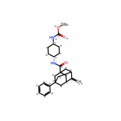 C=C1C2CC3(C(=O)N[C@H]4CC[C@H](NC(=O)OC(C)(C)C)CC4)CC1CC(c1ccccc1)(C2)C3